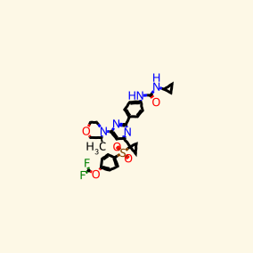 C[C@H]1COCCN1c1cc(C2(S(=O)(=O)c3ccc(OC(F)F)cc3)CC2)nc(-c2ccc(NC(=O)NC3CC3)cc2)n1